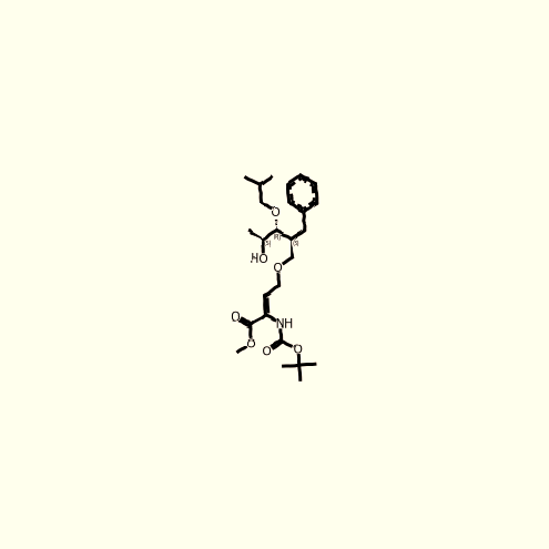 COC(=O)C(=CCOC[C@H](Cc1ccccc1)[C@@H](OCC(C)C)[C@H](C)O)NC(=O)OC(C)(C)C